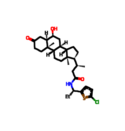 CC[C@@H](NC(=O)C[C@@H](C)[C@H]1CC[C@H]2[C@@H]3C[C@H](O)[C@@H]4CC(=O)CC[C@]4(C)[C@H]3CC[C@]12C)c1ccc(Cl)s1